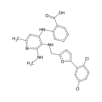 CNc1nc(C)cc(Nc2ccccc2C(=O)O)c1NCc1ccc(-c2cc(Cl)ccc2Cl)o1